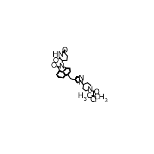 CC(C)(Cl)C(=O)N1CCC(n2cc(Cc3ccc4c5c(cccc35)C(=O)N4C3CCC(=O)NC3=O)cn2)CC1